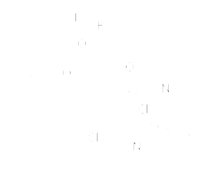 O=C(OC(Cc1c(Cl)cncc1Cl)c1ccc(OC(F)F)c(OCC2CC2)c1)[C@@H]1CCCN1CCS(=O)(=O)c1ccccc1